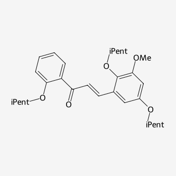 CCCC(C)Oc1cc(C=CC(=O)c2ccccc2OC(C)CCC)c(OC(C)CCC)c(OC)c1